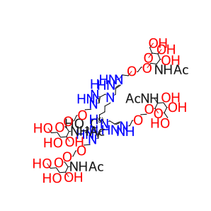 CC(=O)NC1C(OCCOCCN2C=C(CN(CCCC[C@@H](C(=O)O)N(CC3=CN(CCOCCOC4OC(CO)C(O)C(O)C4NC(C)=O)NN3)CC3=CN(CCOCCOC4OC(CO)C(O)C(O)C4NC(C)=O)NN3)CC3=CN(CCOCCOC4OC(CO)C(O)C(O)C4NC(C)=O)NN3)NN2)OC(CO)C(O)C1O